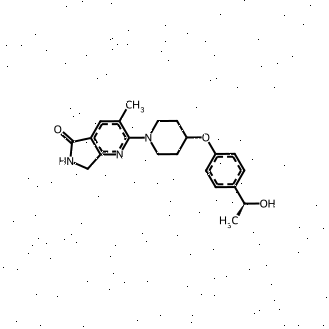 Cc1cc2c(nc1N1CCC(Oc3ccc([C@H](C)O)cc3)CC1)CNC2=O